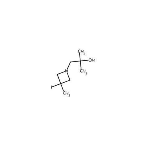 CC(C)(O)CN1CC(C)(I)C1